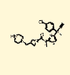 C#C[C@](C)(c1ccc(Cl)cc1)c1csc(NC(=O)N2CC(CN3CCNCC3)C2)n1